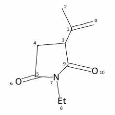 C=C(C)C1CC(=O)N(CC)C1=O